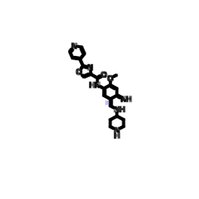 COC1=CC(=N)/C(=C\NC2CCNCC2)C=C1NC(=O)c1coc(-c2ccncc2)n1